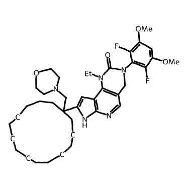 CCN1C(=O)N(c2c(F)c(OC)cc(OC)c2F)Cc2cnc3[nH]c(C4(CN5CCOCC5)CCCCCCCCCCCCCC4)cc3c21